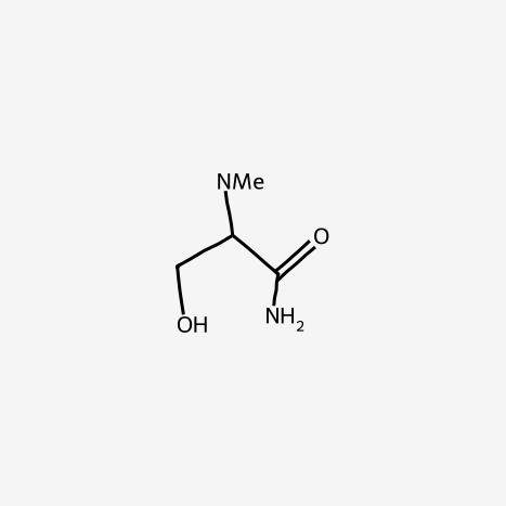 CNC(CO)C(N)=O